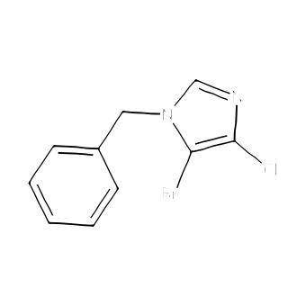 Clc1ncn(Cc2ccccc2)c1Br